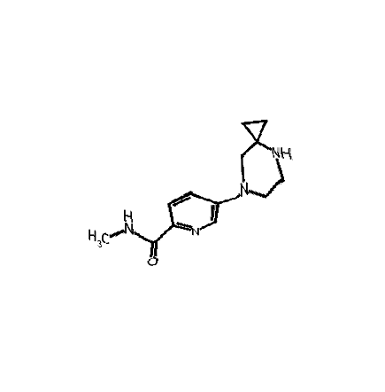 CNC(=O)c1ccc(N2CCNC3(CC3)C2)cn1